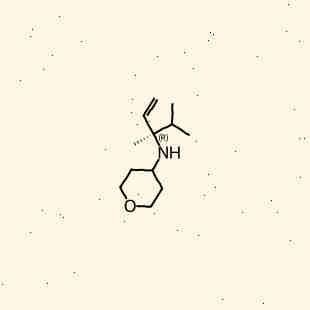 C=C[C@](C)(NC1CCOCC1)C(C)C